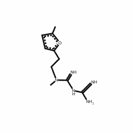 Cc1ccc(CCN(C)C(=N)NC(=N)N)o1